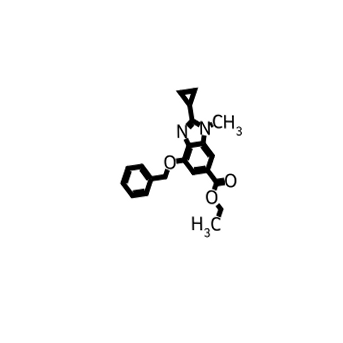 CCOC(=O)c1cc(OCc2ccccc2)c2nc(C3CC3)n(C)c2c1